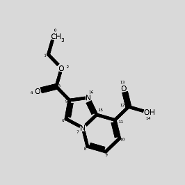 CCOC(=O)c1cn2cccc(C(=O)O)c2n1